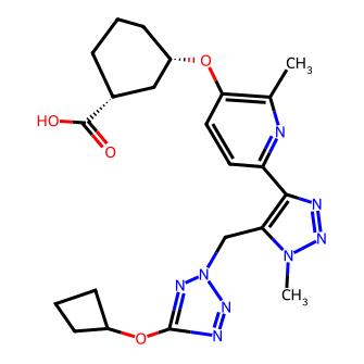 Cc1nc(-c2nnn(C)c2Cn2nnc(OC3CCC3)n2)ccc1O[C@H]1CCC[C@@H](C(=O)O)C1